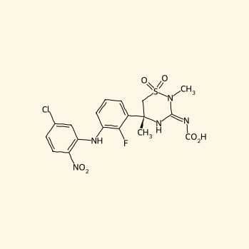 CN1/C(=N/C(=O)O)N[C@](C)(c2cccc(Nc3cc(Cl)ccc3[N+](=O)[O-])c2F)CS1(=O)=O